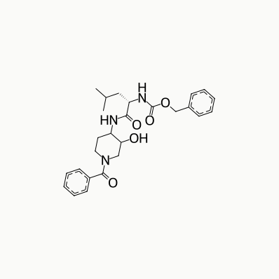 CC(C)C[C@H](NC(=O)OCc1ccccc1)C(=O)NC1CCN(C(=O)c2ccccc2)CC1O